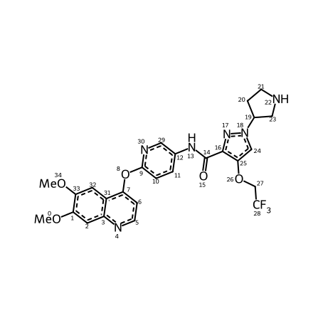 COc1cc2nccc(Oc3ccc(NC(=O)c4nn(C5CCNC5)cc4OCC(F)(F)F)cn3)c2cc1OC